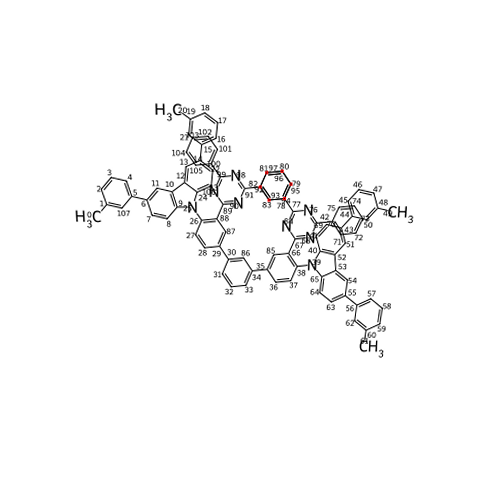 Cc1cccc(-c2ccc3c(c2)c2cc(-c4cccc(C)c4)ccc2n3-c2ccc(-c3cccc(-c4ccc(-n5c6ccc(-c7cccc(C)c7)cc6c6cc(-c7cccc(C)c7)ccc65)c(-c5nc(-c6ccccc6)nc(-c6ccccc6)n5)c4)c3)cc2-c2nc(-c3ccccc3)nc(-c3ccccc3)n2)c1